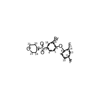 O=S(=O)(c1ccc(Oc2ccc(F)cc2F)c(Br)c1)N1CCOCC1